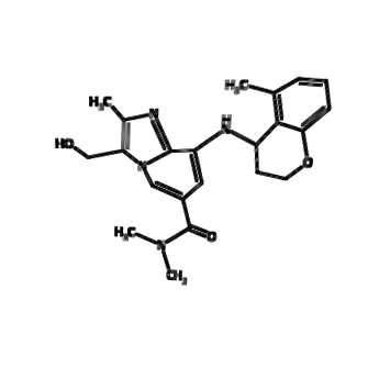 Cc1cccc2c1C(Nc1cc(C(=O)N(C)C)cn3c(CO)c(C)nc13)CCO2